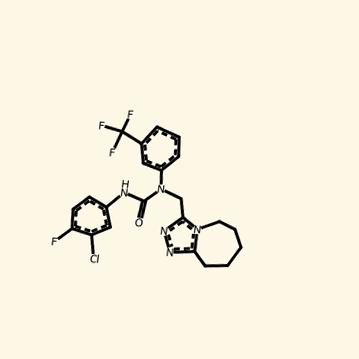 O=C(Nc1ccc(F)c(Cl)c1)N(Cc1nnc2n1CCCCC2)c1cccc(C(F)(F)F)c1